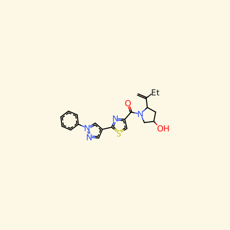 C=C(CC)C1CC(O)CN1C(=O)c1csc(-c2cnn(-c3ccccc3)c2)n1